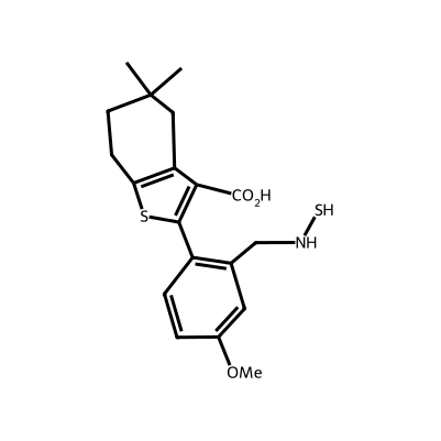 COc1ccc(-c2sc3c(c2C(=O)O)CC(C)(C)CC3)c(CNS)c1